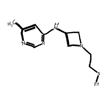 CCSCCN1CC(Nc2cc(C)ncn2)C1